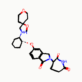 COC1(CN[C@@H]2CCCC[C@H]2Oc2ccc3c(c2)CN(C2CCC(=O)NC2=O)C3=O)CCOCC1